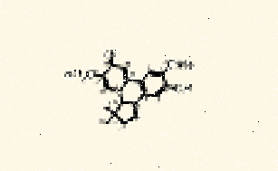 COc1cc2c(cc1O)C1CCC(C)(C)C1n1cc(C(=O)O)c(=O)cc1-2